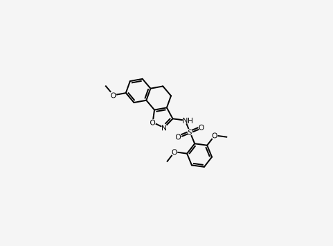 COc1ccc2c(c1)-c1onc(NS(=O)(=O)c3c(OC)cccc3OC)c1CC2